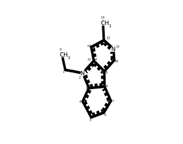 CCn1c2ccccc2c2cnc(C)cc21